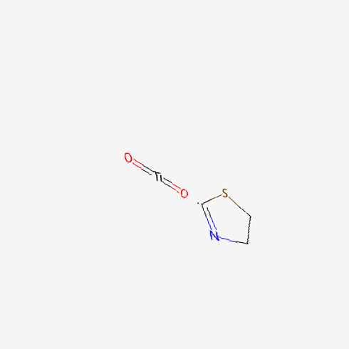 [C]1=NCCS1.[O]=[Ti]=[O]